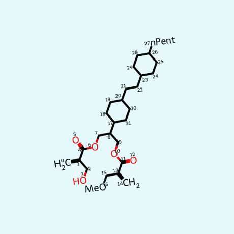 C=C(CO)C(=O)OCC(COC(=O)C(=C)COC)C1CCC(CCC2CCC(CCCCC)CC2)CC1